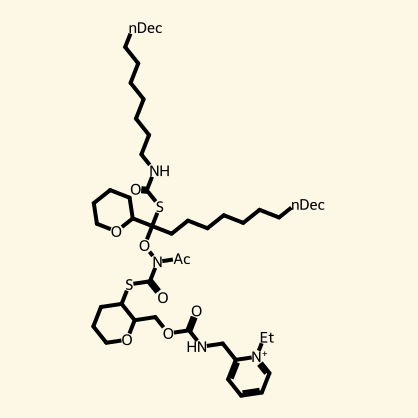 CCCCCCCCCCCCCCCCCNC(=O)SC(CCCCCCCCCCCCCCCCC)(ON(C(C)=O)C(=O)SC1CCCOC1COC(=O)NCc1cccc[n+]1CC)C1CCCCO1